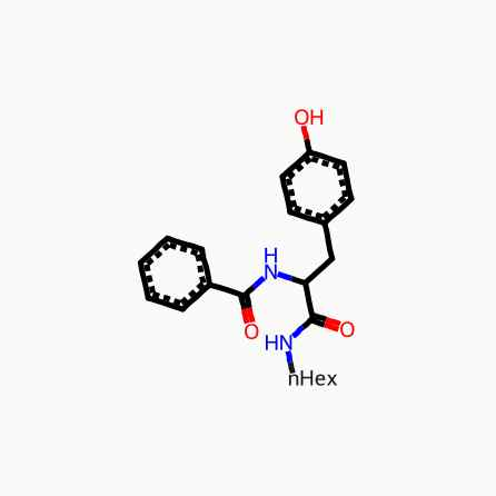 CCCCCCNC(=O)C(Cc1ccc(O)cc1)NC(=O)c1ccccc1